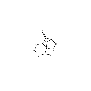 CC1(C)CCCC2C(=O)C3CCC21C3